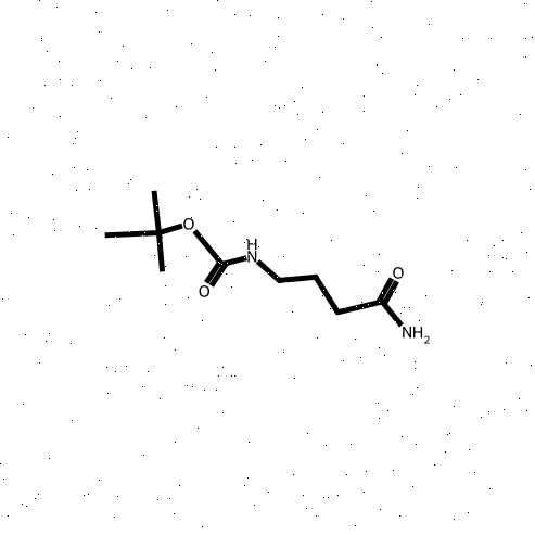 CC(C)(C)OC(=O)NCCCC(N)=O